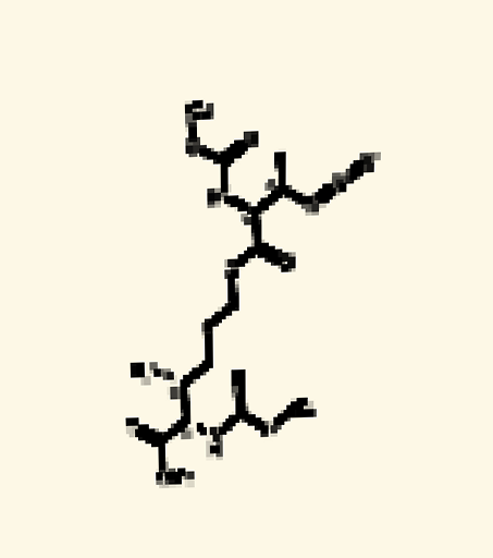 COC(=O)[C@@H](NC(=O)OC(C)(C)C)[C@H](N)CCCOC(=O)[C@@H](NC(=O)OC(C)(C)C)[C@@H](C)N=[N+]=[N-]